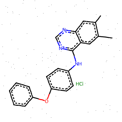 Cc1cc2ncnc(Nc3ccc(Oc4ccccc4)cc3)c2cc1C.Cl